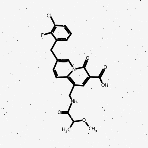 COC(C)C(=O)NCc1cc(C(=O)O)c(=O)n2cc(Cc3cccc(Cl)c3F)ccc12